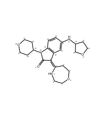 O=C1/C(=C2/CCOCCN2)c2cc(NC3CCOC3)ccc2N1C1CCOCC1